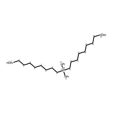 CCCCCCCCCCCCCCCCCC[PH](CCC)(CCC)CCCCCCCCCCCCCCCCCC